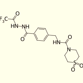 O=C(NNC(=O)C(F)(F)F)c1ccc(CNC(=O)N2CCS(=O)(=O)CC2)cc1